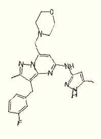 Cc1cc(Nc2cc(CN3CCOCC3)n3nc(C)c(Cc4cccc(F)c4)c3n2)n[nH]1